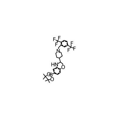 CC1(C)OB(c2ccc3c(c2)NC(C2CCN(Cc4cc(C(F)(F)F)ccc4C(F)(F)F)CC2)CO3)OC1(C)C